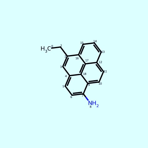 CCc1cc2ccc(N)c3ccc4cccc1c4c23